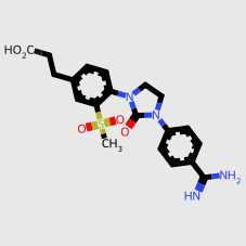 CS(=O)(=O)c1cc(CCC(=O)O)ccc1N1CCN(c2ccc(C(=N)N)cc2)C1=O